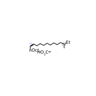 CC(=O)O.CCCCCCCC/C=C\CCCCCCCCN(C)CC